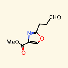 COC(=O)c1coc(CCC=O)n1